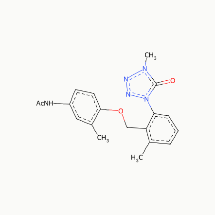 CC(=O)Nc1ccc(OCc2c(C)cccc2-n2nnn(C)c2=O)c(C)c1